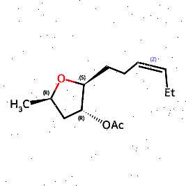 CC/C=C\CC[C@@H]1O[C@H](C)C[C@H]1OC(C)=O